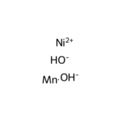 [Mn].[Ni+2].[OH-].[OH-]